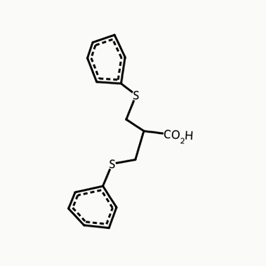 O=C(O)C(CSc1ccccc1)CSc1ccccc1